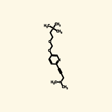 CN(C)CC#Cc1ccc(OCOCC[Si](C)(C)C)cn1